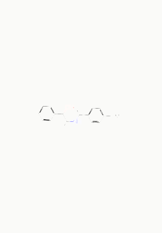 COc1ccc([C@H](C)N[C@@H](C)C(O)c2ccccc2)cc1